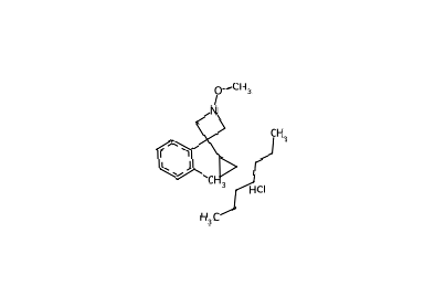 CCCCCCC.CON1CC(c2ccccc2C)(C2CC2)C1.Cl